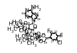 CC(C)(C)[Si](C)(C)O[C@@H]1[C@H](O[Si](C)(C)C(C)(C)C)[C@@H](COP2(=S)OCC(c3cc(Cl)c(F)cc3F)O2)O[C@H]1n1cnc2c(N)ncnc21